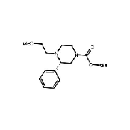 COCCN1CCN(C(=O)OC(C)(C)C)C[C@@H]1c1ccccc1